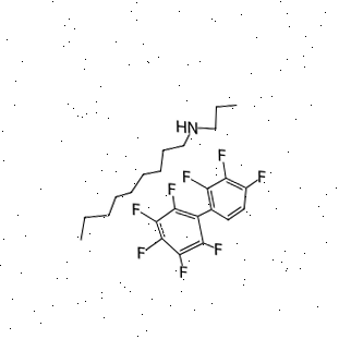 CCCCCCCCCNCCC.Fc1ccc(-c2c(F)c(F)c(F)c(F)c2F)c(F)c1F